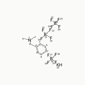 CN(C)Cc1ccccc1.F[B-](F)(F)F.F[B-](F)(F)F.F[B-](F)(F)F.[KH]